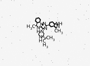 Cc1n[nH]c2ccc(-c3nnc(NC(C)c4ccccc4)c(N4CCN[C@@H](C(C)C)C4)n3)cc12